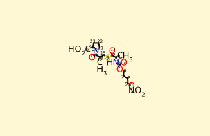 CC(NC(=O)OCCCCO[N+](=O)[O-])C(=O)SC[C@@H](C)C(=O)N1CCC[C@H]1C(=O)O